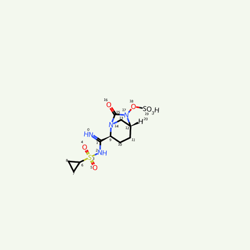 N=C(NS(=O)(=O)C1CC1)[C@@H]1CC[C@@H]2CN1C(=O)N2OS(=O)(=O)O